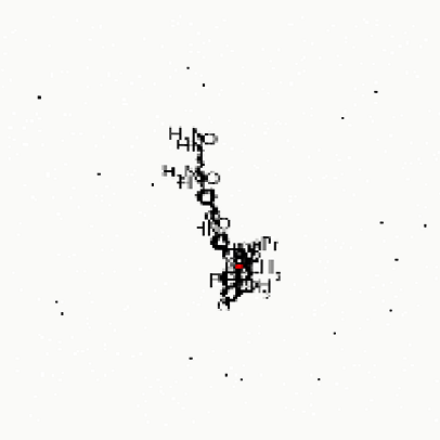 CCCC1O[C@@H]2C[C@H]3[C@@H]4C[C@H](F)C5=CC(=O)C=C[C@]5(C)[C@@]4(F)[C@@H](O)C[C@]3(C)[C@]2(C(=O)COc2ccc(NC(=O)OCc3ccc(NC(=O)[C@@H](N)CCCNC(N)=O)cc3)cc2)O1